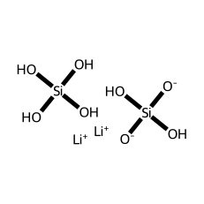 O[Si](O)(O)O.[Li+].[Li+].[O-][Si]([O-])(O)O